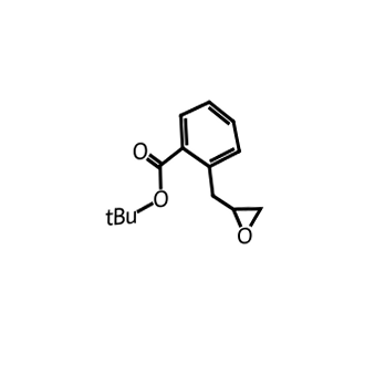 CC(C)(C)OC(=O)c1ccccc1CC1CO1